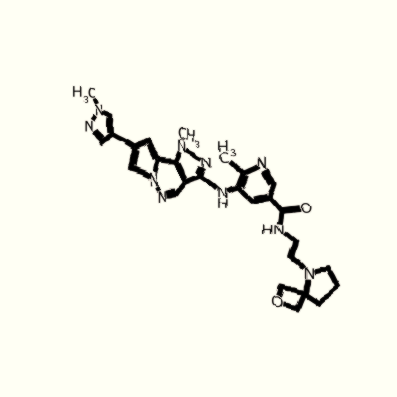 Cc1ncc(C(=O)NCCN2CCCC23COC3)cc1Nc1nn(C)c2c1cnn1cc(-c3cnn(C)c3)cc21